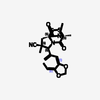 C=C(/C=C1/OCO/C1=C/C)[C@@H]1N2C(=O)[C@]3(C)SS[C@@]2(C[C@]1(C)C#N)C(=O)N3C